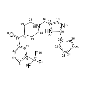 O=C(c1cccc(C(F)(F)F)c1)C1CCN(Cc2cnc(-c3ccccc3)[nH]2)CC1